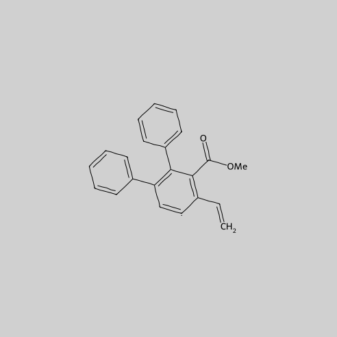 C=Cc1[c]cc(-c2ccccc2)c(-c2ccccc2)c1C(=O)OC